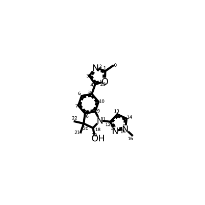 Cc1ncc(-c2ccc3c(c2)N(c2ccn(C)n2)C(O)C3(C)C)o1